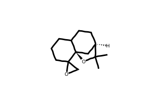 CC1(C)O[C@]23C[C@H]1CCC2CCCC31CO1